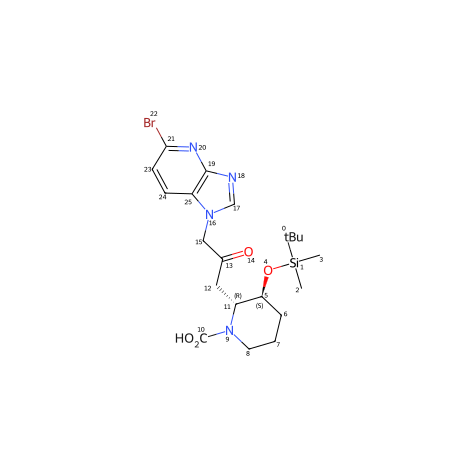 CC(C)(C)[Si](C)(C)O[C@H]1CCCN(C(=O)O)[C@@H]1CC(=O)Cn1cnc2nc(Br)ccc21